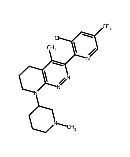 Cc1c(-c2ncc(C(F)(F)F)cc2Cl)nnc2c1CCCN2C1CCCN(C)C1